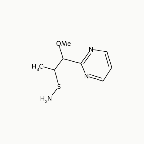 COC(c1ncccn1)C(C)SN